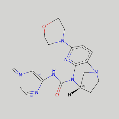 C=N/C=C(\N=C/C)NC(=O)N1c2nc(N3CCOCC3)ccc2N2CC[C@H]1C2